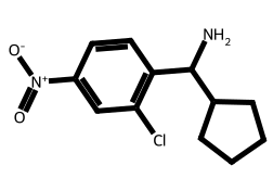 NC(c1ccc([N+](=O)[O-])cc1Cl)C1CCCC1